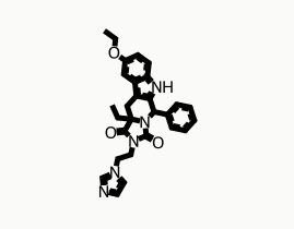 CCOc1ccc2[nH]c3c(c2c1)CC1(CC)C(=O)N(CCn2ccnc2)C(=O)N1C3c1ccccc1